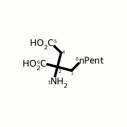 CCCCCCC(N)(CC(=O)O)C(=O)O